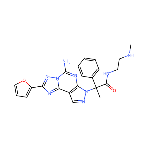 CNCCNC(=O)C(C)(c1ccccc1)n1ncc2c1nc(N)n1nc(-c3ccco3)nc21